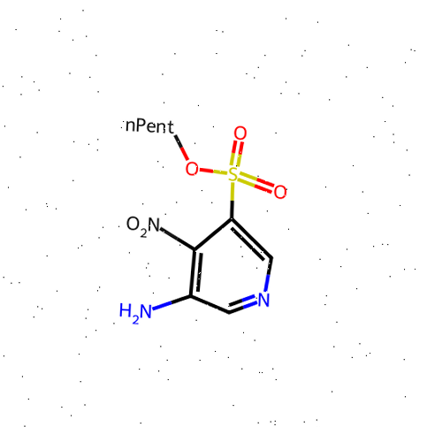 CCCCCOS(=O)(=O)c1cncc(N)c1[N+](=O)[O-]